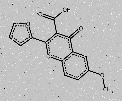 COc1ccc2oc(-c3ccco3)c(C(=O)O)c(=O)c2c1